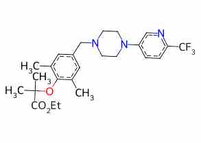 CCOC(=O)C(C)(C)Oc1c(C)cc(CN2CCN(c3ccc(C(F)(F)F)nc3)CC2)cc1C